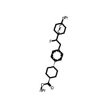 CCCOC(=O)[C@H]1CC[C@H](c2ccc(CC(F)C34CCC(CCC)(CC3)CC4)cc2)CC1